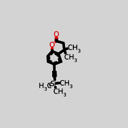 CC1(C)CC(=O)Oc2ccc(C#C[Si](C)(C)C)cc21